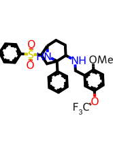 COc1ccc(OC(F)(F)F)cc1CNC1CCC2NC1(c1ccccc1)CC2S(=O)(=O)c1ccccc1